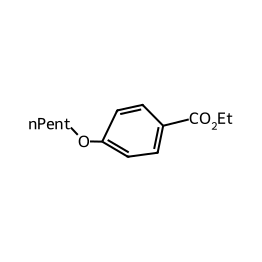 CCCCCOc1ccc(C(=O)OCC)cc1